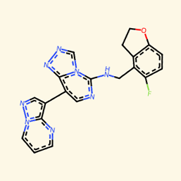 Fc1ccc2c(c1CNc1ncc(-c3cnn4cccnc34)c3nncn13)CCO2